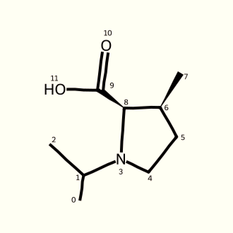 CC(C)N1CC[C@H](C)[C@@H]1C(=O)O